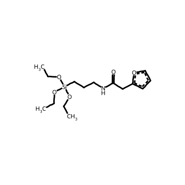 CCO[Si](CCCNC(=O)Cc1ccco1)(OCC)OCC